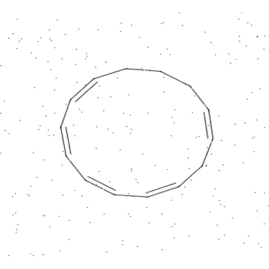 [CH]1C=CC=CC=CC=CCCCC=C1